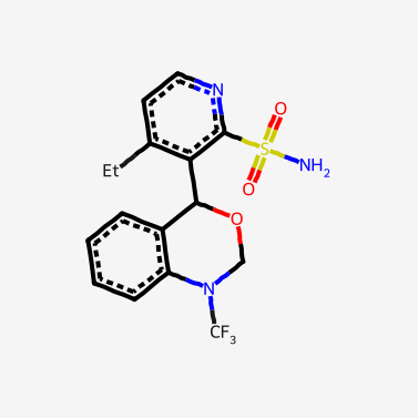 CCc1ccnc(S(N)(=O)=O)c1C1OCN(C(F)(F)F)c2ccccc21